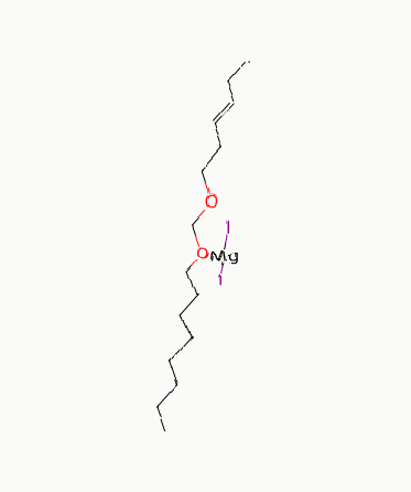 [CH2]C/C=C/CCOCOCCCCCCCC.[I][Mg][I]